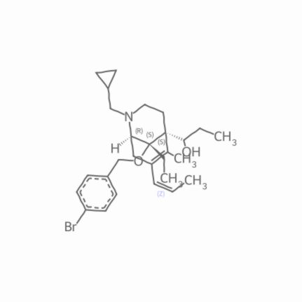 C/C=C\C1=C(C)[C@]2(C(O)CC)CCN(CC3CC3)[C@H](C1)[C@@]2(CC)OCc1ccc(Br)cc1